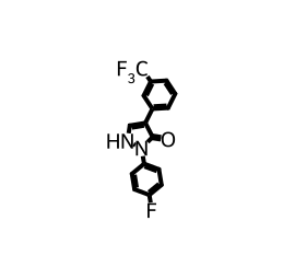 O=c1c(-c2cccc(C(F)(F)F)c2)c[nH]n1-c1ccc(F)cc1